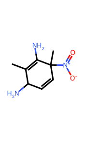 CC1=C(N)C(C)([N+](=O)[O-])C=CC1N